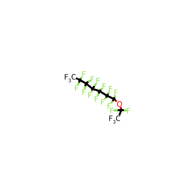 FC(F)(F)C(F)(F)OC(F)(F)C(F)(F)C(F)(F)C(F)(F)C(F)(F)C(F)(F)C(F)(F)F